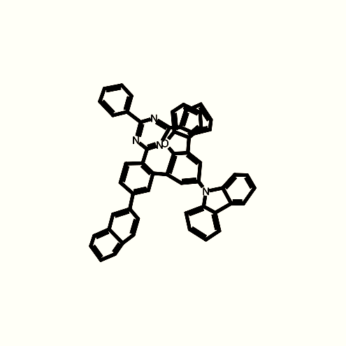 c1ccc(-c2nc(-c3ccccc3)nc(-c3ccc(-c4ccc5ccccc5c4)cc3-c3cc(-n4c5ccccc5c5ccccc54)cc4c3oc3ccccc34)n2)cc1